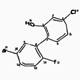 Oc1cc(Cl)ccc1-c1cc(Br)ccc1F